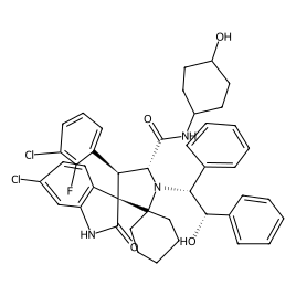 O=C(NC1CCC(O)CC1)[C@H]1[C@H](c2cccc(Cl)c2F)[C@@]2(C(=O)Nc3cc(Cl)ccc32)C2(CCCCC2)N1[C@H](c1ccccc1)[C@@H](O)c1ccccc1